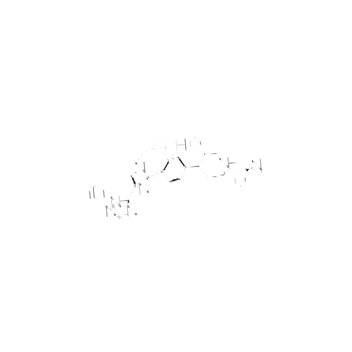 CC(C)n1ncnc1-c1cn2c(n1)-c1ccc(C3CCN(CC(=O)N(C)C)CC3O)cc1OCC2